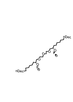 CCCCCCCCCCCCCCCCC(COCCOCCOCC(CCCCCCCCCCCCCCCC)OP=O)OP=O